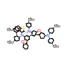 CC(C)(C)c1ccc(N2B3c4sc5ccc(C(C)(C)C)cc5c4N(c4ccc(C(C)(C)C)cc4-c4ccccc4)c4c3c(cc3c4oc4ccccc43)-c3cc4c(cc32)oc2cc(N(c3ccc(C(C)(C)C)cc3)c3ccc(C(C)(C)C)cc3)ccc24)cc1